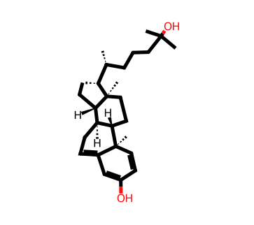 C[C@H](CCCC(C)(C)O)[C@H]1CC[C@H]2[C@@H]3CC=C4C=C(O)C=C[C@]4(C)[C@H]3CC[C@]12C